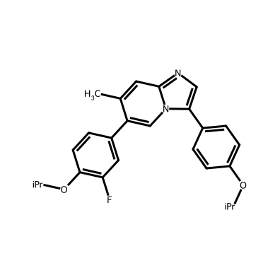 Cc1cc2ncc(-c3ccc(OC(C)C)cc3)n2cc1-c1ccc(OC(C)C)c(F)c1